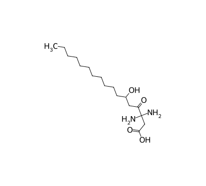 CCCCCCCCCCCC(O)CC(=O)C(N)(N)CC(=O)O